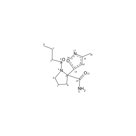 CCCC(=O)N1CCCC1(C(N)=O)c1cc(C)no1